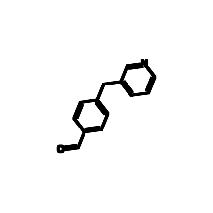 O=Cc1ccc(Cc2cccnc2)cc1